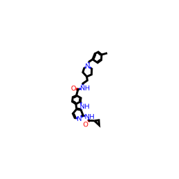 Cc1ccc(CN2CCC(CCNC(=O)c3ccc4c(c3)[nH]c3c(NC(=O)C5CC5)nccc34)CC2)cc1